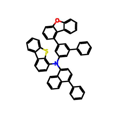 c1ccc(-c2cc(-c3cccc4oc5ccccc5c34)cc(N(c3ccc(-c4ccccc4)c4ccccc34)c3cccc4c3sc3ccccc34)c2)cc1